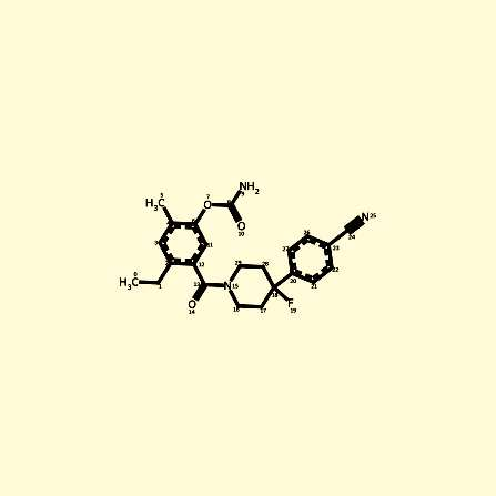 CCc1cc(C)c(OC(N)=O)cc1C(=O)N1CCC(F)(c2ccc(C#N)cc2)CC1